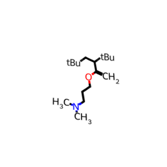 C=C(OCCCN(C)C)C(CC(C)(C)C)C(C)(C)C